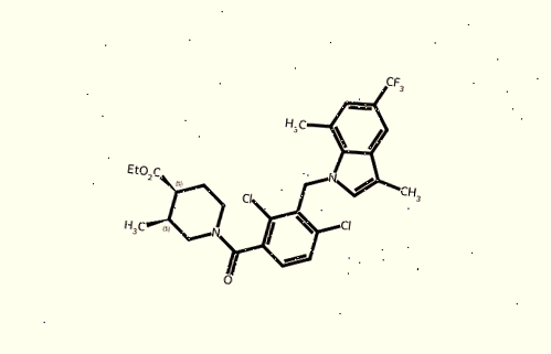 CCOC(=O)[C@H]1CCN(C(=O)c2ccc(Cl)c(Cn3cc(C)c4cc(C(F)(F)F)cc(C)c43)c2Cl)C[C@H]1C